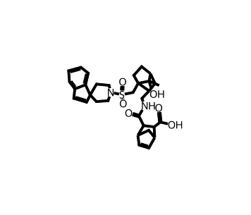 CC1(C)C2CCC1(CS(=O)(=O)N1CCC3(C=Cc4ccccc43)CC1)C(O)(CNC(=O)C1C3C=CC(C3)C1C(=O)O)C2